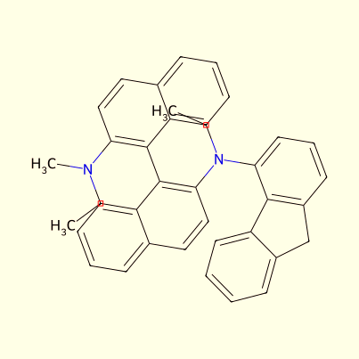 CCN(C)c1ccc2ccccc2c1-c1c(N(CC)c2cccc3c2-c2ccccc2C3)ccc2ccccc12